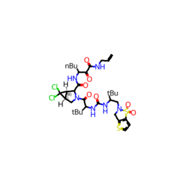 C=CCNC(=O)C(=O)C(CCCC)NC(=O)C1[C@H]2[C@@H](CN1C(=O)C(NC(=O)NC(CN1Cc3sccc3S1(=O)=O)C(C)(C)C)C(C)(C)C)C2(Cl)Cl